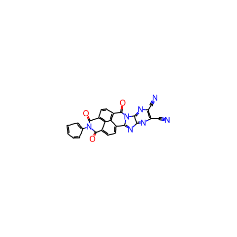 N#Cc1nc2nc3c4ccc5c6c(ccc(c(=O)n3c2nc1C#N)c64)C(=O)N(c1ccccc1)C5=O